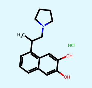 CC(CN1CCCC1)c1cccc2cc(O)c(O)cc12.Cl